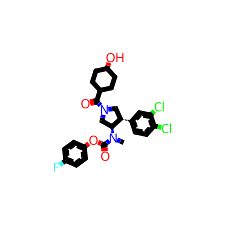 CN(C(=O)Oc1ccc(F)cc1)[C@H]1CN(C(=O)C2CCC(O)CC2)C[C@@H]1c1ccc(Cl)c(Cl)c1